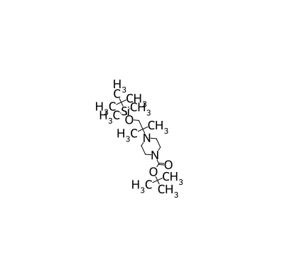 CC(C)(C)OC(=O)N1CCN(C(C)(C)CO[Si](C)(C)C(C)(C)C)CC1